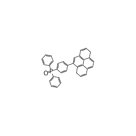 O=P(c1ccccc1)(c1ccccc1)c1ccc(-c2cc3c4c(ccc5c4c2CC=C5)CC=C3)cc1